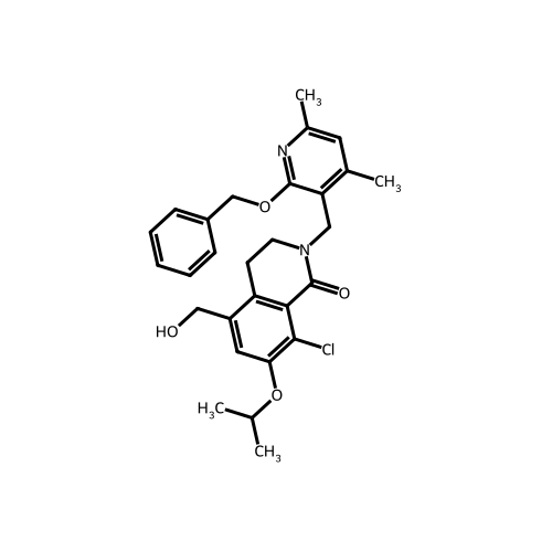 Cc1cc(C)c(CN2CCc3c(CO)cc(OC(C)C)c(Cl)c3C2=O)c(OCc2ccccc2)n1